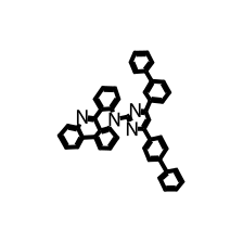 c1ccc(-c2ccc(-c3cc(-c4cccc(-c5ccccc5)c4)nc(N4c5ccccc5-c5nc6ccccc6c6cccc4c56)n3)cc2)cc1